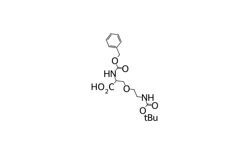 CC(C)(C)OC(=O)NCCOCC(NC(=O)OCc1ccccc1)C(=O)O